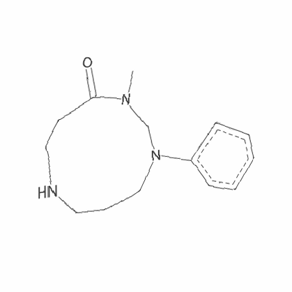 CN1CN(c2ccccc2)CCCNCCC1=O